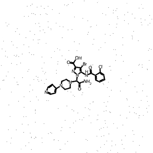 NC(=O)C(N1CCN(c2ccncc2)CC1)n1nc(C(=O)O)c(Br)c1NC(=O)c1ccccc1Cl